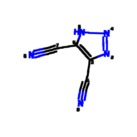 N#Cc1nn[nH]c1C#N